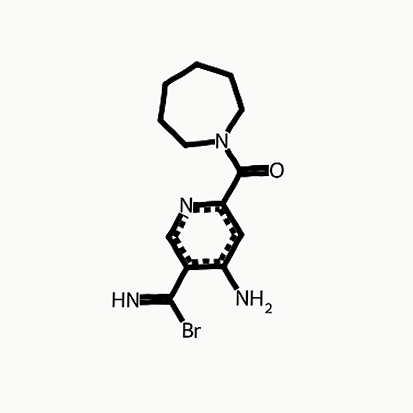 N=C(Br)c1cnc(C(=O)N2CCCCCC2)cc1N